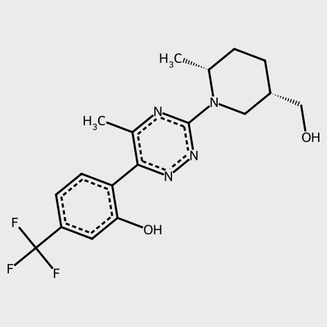 Cc1nc(N2C[C@@H](CO)CC[C@H]2C)nnc1-c1ccc(C(F)(F)F)cc1O